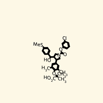 CSc1ccc(C(O)C2CN(C(=O)Oc3cccc(Cl)c3)CC2c2cc(C)c(OC(C)(C)C(=O)O)c(C)c2)cc1